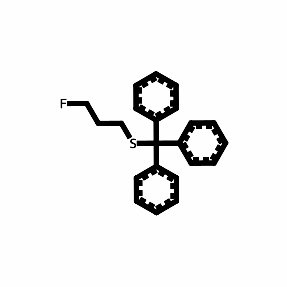 FCCCSC(c1ccccc1)(c1ccccc1)c1ccccc1